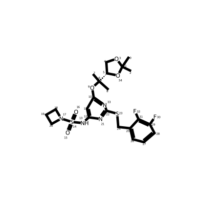 CC1(C)OC[C@@H](C(C)(C)Oc2cc(NS(=O)(=O)N3CCC3)nc(SCc3cccc(F)c3F)n2)O1